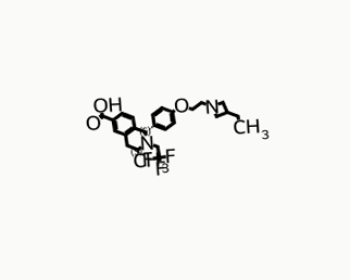 CCC1CN(CCOc2ccc([C@H]3c4ccc(C(=O)O)cc4C[C@H](C)N3CC(F)(F)F)cc2)C1